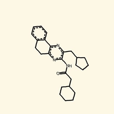 O=C(CC1CCCCC1)Nc1nc2c(nc1CC1CCCC1)-c1ccccc1CC2